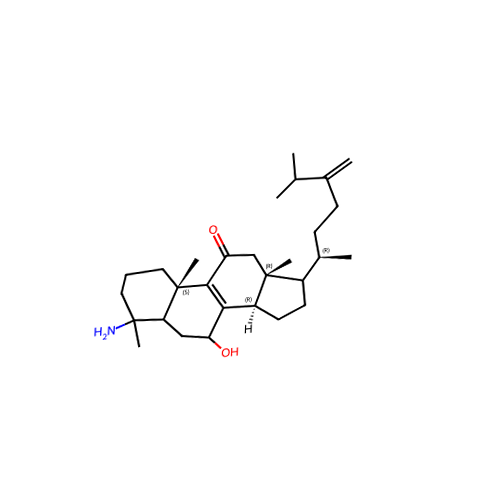 C=C(CC[C@@H](C)C1CC[C@H]2C3=C(C(=O)C[C@]12C)[C@@]1(C)CCCC(C)(N)C1CC3O)C(C)C